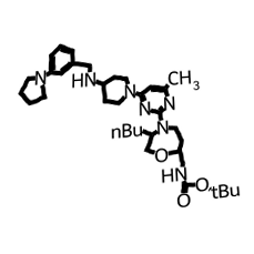 CCCCC1COC(CNC(=O)OC(C)(C)C)CCN1c1nc(C)cc(N2CCC(NCc3cccc(N4CCCC4)c3)CC2)n1